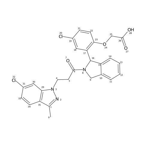 Cc1nn(CCC(=O)N2Cc3ccccc3C2c2cc(Cl)ccc2OCC(=O)O)c2cc(Cl)ccc12